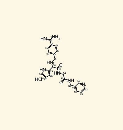 Cl.N=C(N)c1ccc(CNC(C(=O)NCC(=O)NCc2cccnc2)c2ccc[nH]2)cc1